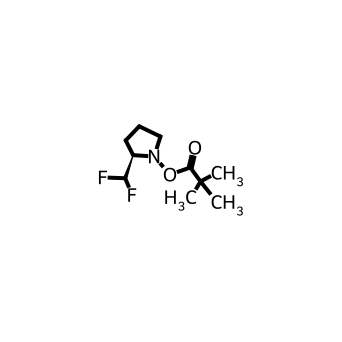 CC(C)(C)C(=O)ON1CCC[C@@H]1C(F)F